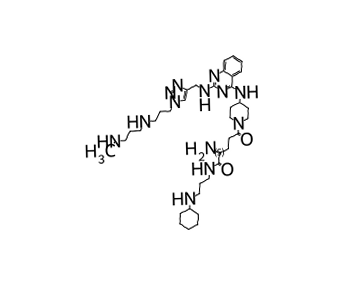 CNCCCNCCCn1cc(CNc2nc(NC3CCN(C(=O)CC[C@H](N)C(=O)NCCCNC4CCCCC4)CC3)c3ccccc3n2)nn1